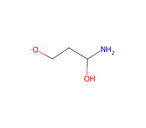 NC(O)CC[O]